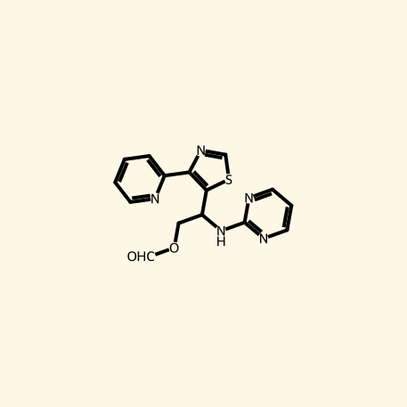 O=COCC(Nc1ncccn1)c1scnc1-c1ccccn1